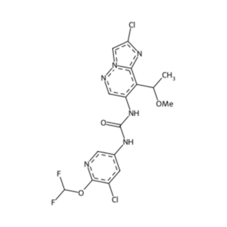 COC(C)c1c(NC(=O)Nc2cnc(OC(F)F)c(Cl)c2)cnn2cc(Cl)nc12